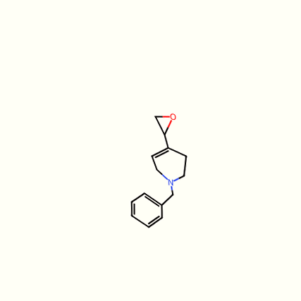 C1=C(C2CO2)CCN(Cc2ccccc2)C1